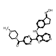 CN1CCN(C(=O)c2cnc(-c3oc4cnccc4c3Nc3ccc4c(c3)CCC4=NO)nc2)CC1